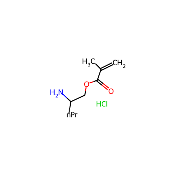 C=C(C)C(=O)OCC(N)CCC.Cl